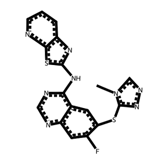 Cn1cnnc1Sc1cc2c(Nc3nc4cccnc4s3)ncnc2cc1F